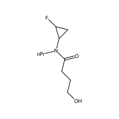 CCCN(C(=O)CCCO)C1CC1F